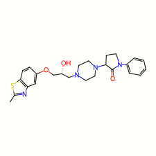 Cc1nc2cc(OC[C@H](O)CN3CCN(C4CCN(c5ccccc5)C4=O)CC3)ccc2s1